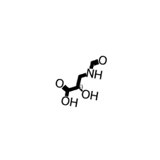 O=CNC[C@H](O)C(=O)O